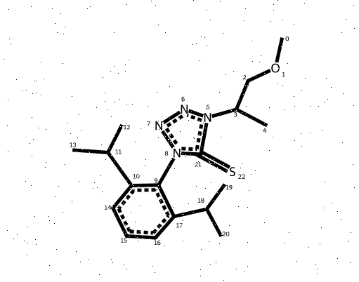 COCC(C)n1nnn(-c2c(C(C)C)cccc2C(C)C)c1=S